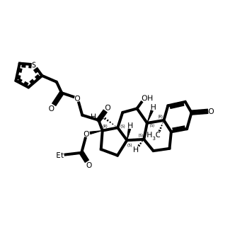 CCC(=O)O[C@]1(C(=O)COC(=O)Cc2cccs2)CC[C@H]2[C@@H]3CCC4=CC(=O)C=C[C@]4(C)[C@H]3C(O)C[C@@]21C